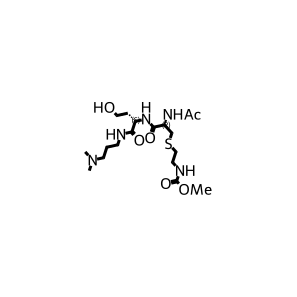 COC(=O)NCCSC[C@H](NC(C)=O)C(=O)N[C@@H](CCO)C(=O)NCCCN(C)C